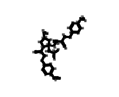 COc1ccc(COC(=O)N2C[C@@H](C(C)(C)C)C[C@@]2(CNC(=O)OCc2ccc([N+](=O)[O-])cc2)O[SiH](C)C)cc1